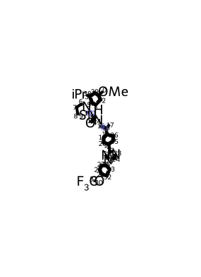 COc1ccc(N2CCCS/C2=N\C(=O)N/C=C(\C)c2ccc(-c3ncn(-c4ccc(OC(F)(F)F)cc4)n3)cc2)c(C(C)C)c1